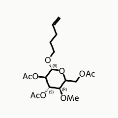 C=CCCCO[C@@H]1OC(COC(C)=O)[C@@H](OC)[C@H](OC(C)=O)C1OC(C)=O